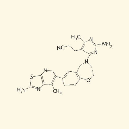 Cc1nc(N)nc(N2CCOc3ccc(-c4cnc5sc(N)nc5c4C)cc3C2)c1CCC#N